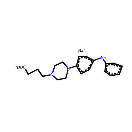 O=C([O-])CCCN1CCN(c2ccc(Nc3ccccc3)cc2)CC1.[Na+]